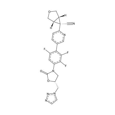 N#C[C@]1(c2ccc(-c3c(F)cc(N4C[C@H](Cn5ccnn5)OC4=O)c(F)c3F)cn2)[C@@H]2COC[C@@H]21